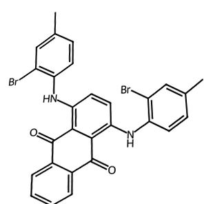 Cc1ccc(Nc2ccc(Nc3ccc(C)cc3Br)c3c2C(=O)c2ccccc2C3=O)c(Br)c1